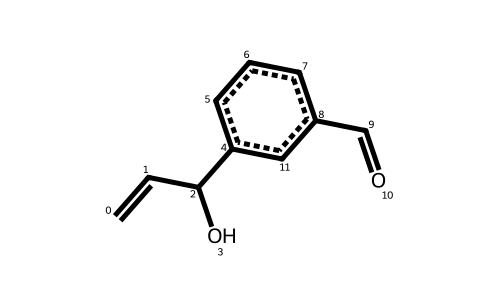 C=CC(O)c1cccc(C=O)c1